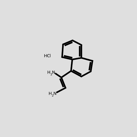 Cl.NC=C(N)c1cccc2ccccc12